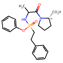 CC(NP(=O)(CCc1ccccc1)Oc1ccccc1)C(=O)N1CCC[C@H]1C(=O)O